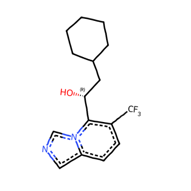 O[C@H](CC1CCCCC1)c1c(C(F)(F)F)ccc2cncn12